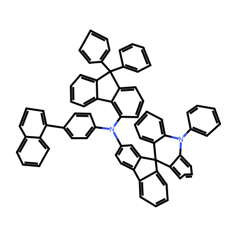 c1ccc(N2c3ccccc3C3(c4ccccc4-c4ccc(N(c5ccc(-c6cccc7ccccc67)cc5)c5cccc6c5-c5ccccc5C6(c5ccccc5)c5ccccc5)cc43)c3ccccc32)cc1